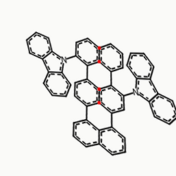 c1ccc(-c2ccc(-c3cccc4cccc(-c5ccc(-c6ccccc6-n6c7ccccc7c7ccccc76)cc5)c34)cc2-n2c3ccccc3c3ccccc32)cc1